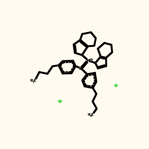 CCCCc1ccc([Si](c2ccc(CCCC)cc2)=[Hf+2]([CH]2C=CC3=C2CCCC3)[CH]2C=CC3=C2CCCC3)cc1.[Cl-].[Cl-]